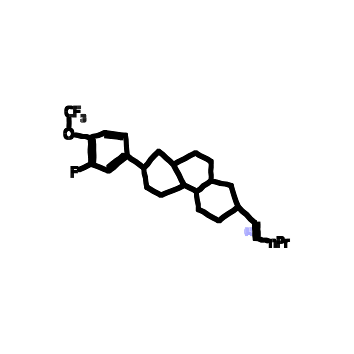 CCC/C=C/C1CCC2C(CCC3CC(c4ccc(OC(F)(F)F)c(F)c4)CCC32)C1